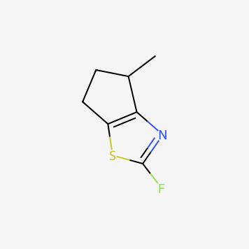 CC1CCc2sc(F)nc21